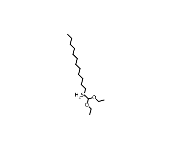 CCCCCCCCCCCC[SiH2]C(OCC)OCC